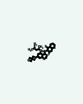 C[C@H](CN(C)C)Oc1cc(N2CC3(COC3)C2)cc2ncnc(Nc3c(F)cc4ncccc4c3F)c12